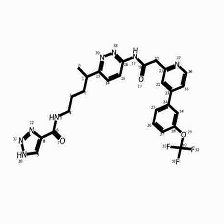 CC(CCCNC(=O)c1c[nH]nn1)c1ccc(NC(=O)Cc2cc(-c3cccc(OC(F)(F)F)c3)ccn2)nn1